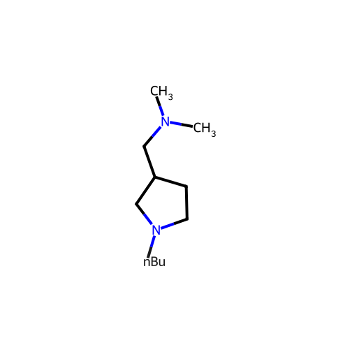 CCCCN1CCC(CN(C)C)C1